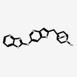 CC(=O)N1CC2CCC1CN2Cc1cc2ncc(Oc3nc4ncccc4s3)cc2o1